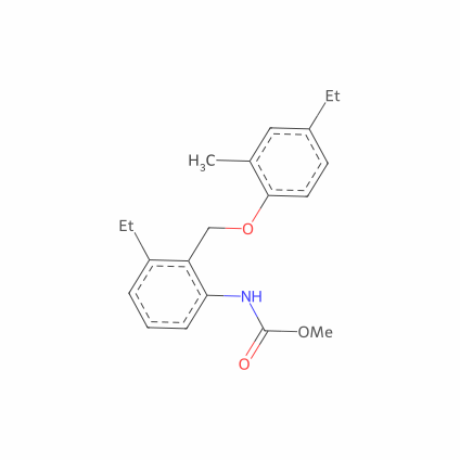 CCc1ccc(OCc2c(CC)cccc2NC(=O)OC)c(C)c1